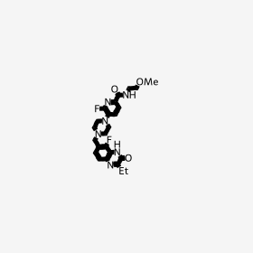 CCc1nc2ccc(CN3CCN(c4ccc(C(=O)NCCOC)nc4F)CC3)c(F)c2[nH]c1=O